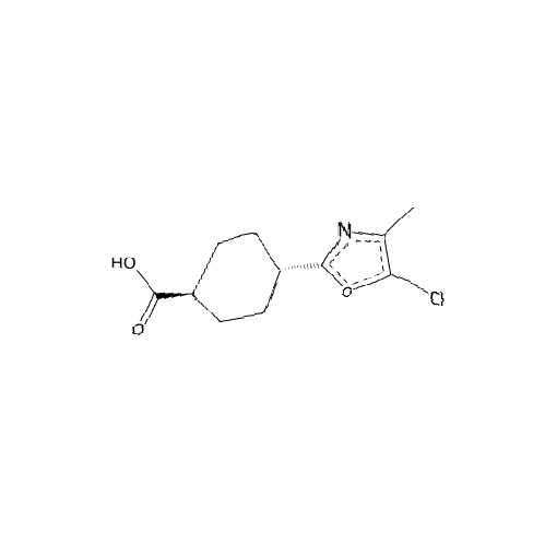 Cc1nc([C@H]2CC[C@H](C(=O)O)CC2)oc1Cl